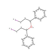 ICCC(OC(CCI)c1ccccc1)c1ccccc1